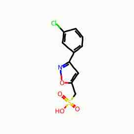 O=S(=O)(O)Cc1cc(-c2cccc(Cl)c2)no1